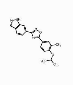 CC(Oc1ccc(-c2nc(-c3ccc4cn[nH]c4c3)no2)cc1C(F)(F)F)C(F)(F)F